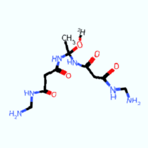 [2H]OC(C)(NC(=O)CC(=O)NCN)NC(=O)CC(=O)NCN